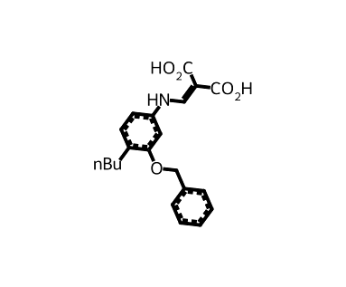 CCCCc1ccc(NC=C(C(=O)O)C(=O)O)cc1OCc1ccccc1